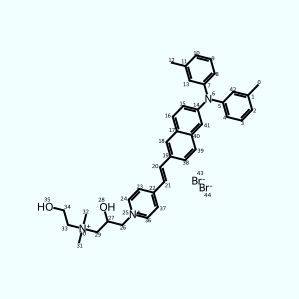 Cc1cccc(N(c2cccc(C)c2)c2ccc3cc(/C=C/c4cc[n+](CC(O)C[N+](C)(C)CCO)cc4)ccc3c2)c1.[Br-].[Br-]